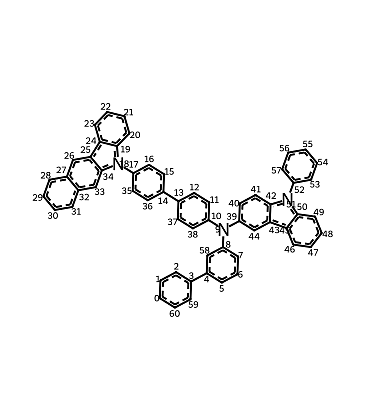 c1ccc(-c2cccc(N(c3ccc(-c4ccc(-n5c6ccccc6c6cc7ccccc7cc65)cc4)cc3)c3ccc4c(c3)c3ccccc3n4-c3ccccc3)c2)cc1